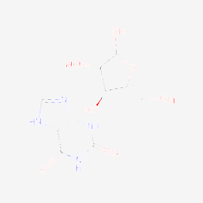 O=c1[nH]c(=O)c2[nH]cnc2[nH]1.OC[C@H]1OC(O)[C@@H](O)[C@@H]1O